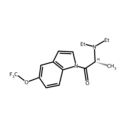 CCN(CC)[C@H](C)C(=O)n1ccc2cc(OC(F)(F)F)ccc21